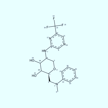 CN(C[C@@H]1OCC(Nc2cncc(C(F)(F)F)n2)C(O)C1O)c1ccccc1